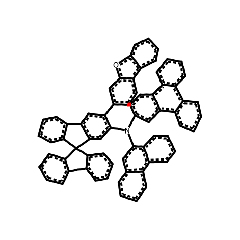 c1ccc2c(c1)-c1ccccc1C21c2ccccc2-c2cc(-c3ccc4c(c3)oc3ccccc34)c(N(c3ccc4c5ccccc5c5ccccc5c4c3)c3cc4ccccc4c4ccccc34)cc21